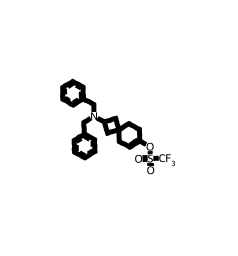 O=S(=O)(OC1=CCC2(CC1)CC(N(Cc1ccccc1)Cc1ccccc1)C2)C(F)(F)F